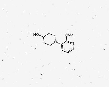 COc1ncccc1N1CCC(O)CC1